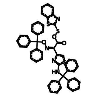 O=C(OSc1nc2ccccc2s1)C(=NOC(c1ccccc1)(c1ccccc1)c1ccccc1)c1csc(NC(c2ccccc2)(c2ccccc2)c2ccccc2)n1